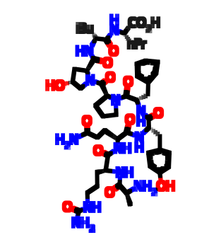 CCC[C@H](NC(=O)[C@@H](NC(=O)[C@@H]1C[C@@H](O)CN1C(=O)[C@@H]1CCCN1C(=O)[C@H](Cc1ccccc1)NC(=O)[C@H](Cc1ccc(O)cc1)NC(=O)[C@H](CCC(N)=O)NC(=O)[C@H](CCCNC(N)=O)NC(=O)[C@H](C)N)[C@@H](C)CC)C(=O)O